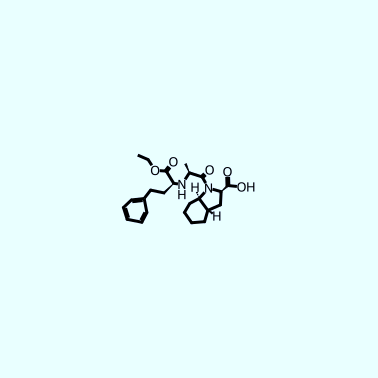 CCOC(=O)[C@H](CCc1ccccc1)N[C@@H](C)C(=O)N1[C@@H](C(=O)O)C[C@@H]2CCCC[C@H]21